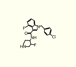 O=C(NC1CCNCC1F)c1cn(Cc2ccc(Cl)cc2)c2cccc(F)c12